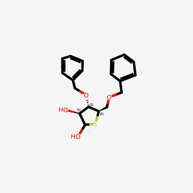 OC1S[C@H](COCc2ccccc2)[C@@H](OCc2ccccc2)[C@@H]1O